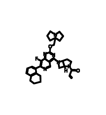 C=CC(=O)N1CCC2[C@H]1CN2c1nc(OCC23CCCN2CCC3)nc2c(F)c(-c3cccc4c3CCCC4)ncc12